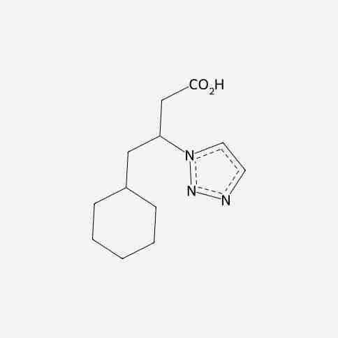 O=C(O)CC(CC1CCCCC1)n1ccnn1